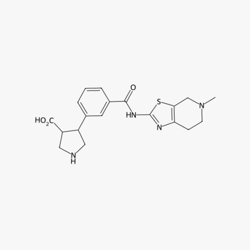 CN1CCc2nc(NC(=O)c3cccc(C4CNCC4C(=O)O)c3)sc2C1